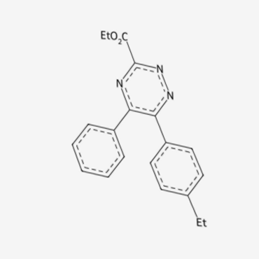 CCOC(=O)c1nnc(-c2ccc(CC)cc2)c(-c2ccccc2)n1